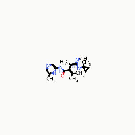 C=N/C(NC1(C)CC1)=C(\C)C(C(=O)Nc1cncc(C)n1)=C(C)C